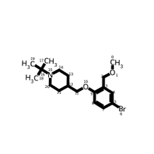 COCc1cc(Br)ccc1OCC1CCN(C(C)(C)C)CC1